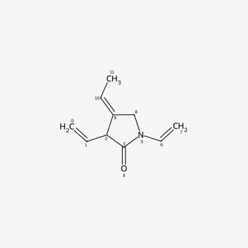 C=CC1C(=O)N(C=C)CC1=CC